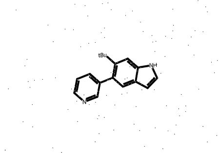 CC(C)(C)c1cc2[nH]ccc2cc1-c1cccnc1